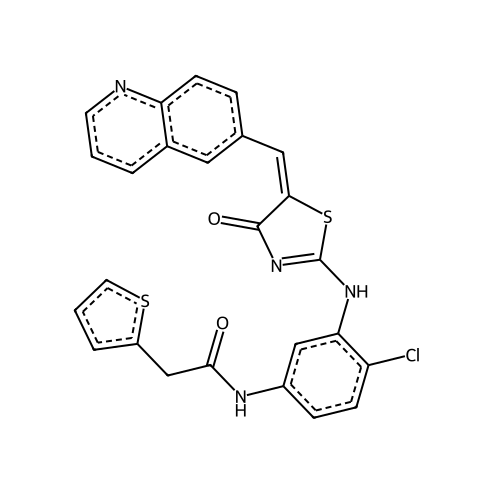 O=C(Cc1cccs1)Nc1ccc(Cl)c(NC2=NC(=O)C(=Cc3ccc4ncccc4c3)S2)c1